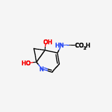 O=C(O)NC1=CC=NC2(O)CC12O